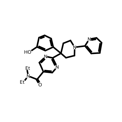 CCN(CC)C(=O)c1cnc(C2(c3cccc(O)c3)CCN(c3ccccn3)CC2)nc1